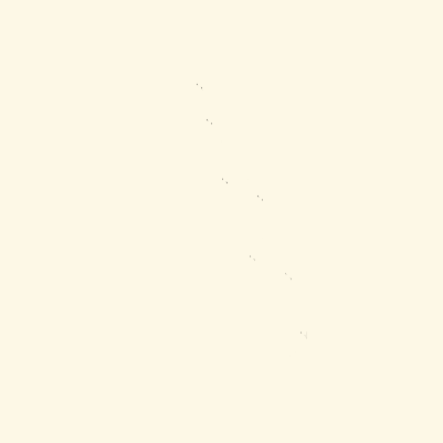 O=[N+]([O-])c1ccc(NCCNc2ccc(-n3ccnc3)c(-c3ccc(Cl)cc3Cl)n2)nc1